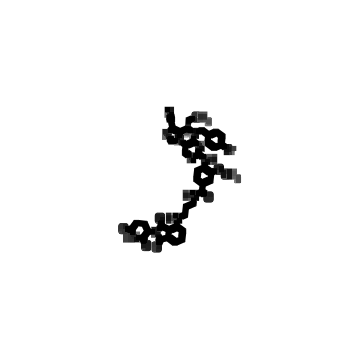 CC[C@@H]1c2c(C#N)ncn2-c2cnc(Nc3ccc(C(=O)NCCCNc4cccc5c4C(=O)N(C4CCC(=O)NC4=O)C5=O)cc3OC)nc2N1Cc1ccc(Br)cc1